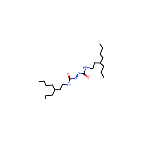 CCCCC(CCC)CCNC(=O)N=NC(=O)NCCC(CCC)CCCC